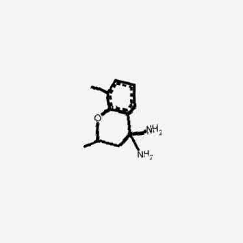 Cc1cccc2c1OC(C)CC2(N)N